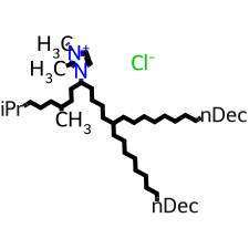 CCCCCCCCCCCCCCCCCCC(CCCCCCCCCCCCCCCCCC)CCCCC(CCC(C)CCCC(C)C)n1cc[n+](C)c1C.[Cl-]